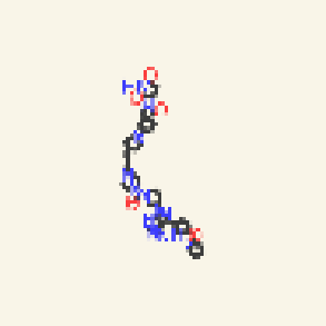 Nc1ncnc2c1c(-c1ccc(Oc3ccccc3)cc1)nn2C1CCCN(C(=O)N2CCN(CCCC3CCN(c4ccc5c(c4)CN(C4CCC(=O)NC4=O)C5=O)CC3)CC2)C1